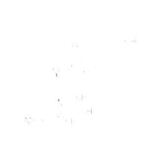 COC(=O)C1=CCC[C@]2(C)C(OS(=O)(=O)c3ccc(C)cc3)CC[C@]12O[Si](C)(C)C